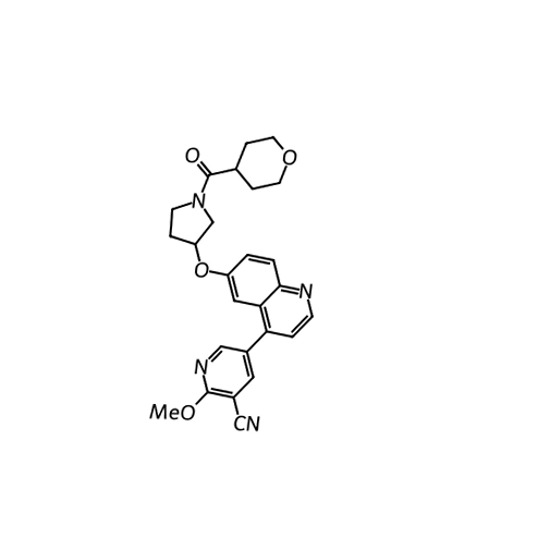 COc1ncc(-c2ccnc3ccc(OC4CCN(C(=O)C5CCOCC5)C4)cc23)cc1C#N